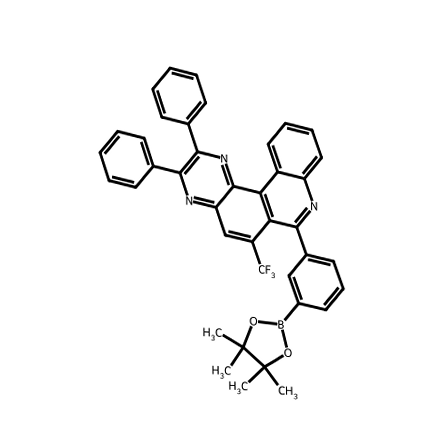 CC1(C)OB(c2cccc(-c3nc4ccccc4c4c3c(C(F)(F)F)cc3nc(-c5ccccc5)c(-c5ccccc5)nc34)c2)OC1(C)C